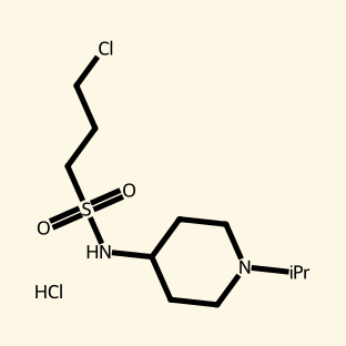 CC(C)N1CCC(NS(=O)(=O)CCCCl)CC1.Cl